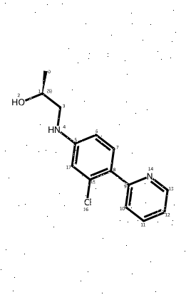 C[C@H](O)CNc1ccc(-c2ccccn2)c(Cl)c1